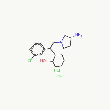 Cl.Cl.N[C@@H]1CCN(CC(c2cccc(Cl)c2)C2CCCCC2O)C1